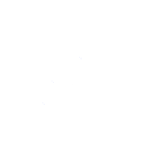 N#CC(C#N)=Cc1ccc(-c2ccc3c4c(cccc24)-c2sc4ccccc4c2N3c2ccccc2)s1